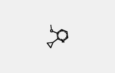 COc1cccnc1C1CC1